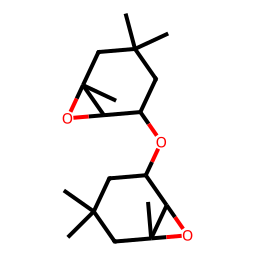 CC1(C)CC(OC2CC(C)(C)CC3(C)OC23)C2OC2(C)C1